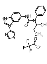 CCC(C)N(C(=O)Nc1ccc2[nH]c[n+](-c3cscn3)c2c1)c1ccccc1.O=C([O-])C(F)(F)F